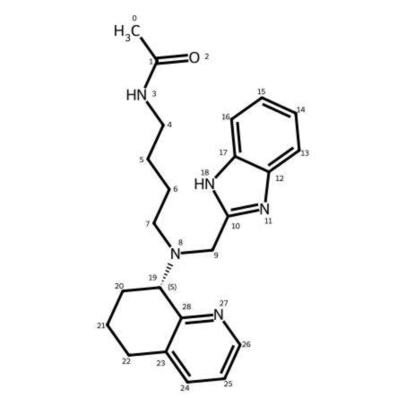 CC(=O)NCCCCN(Cc1nc2ccccc2[nH]1)[C@H]1CCCc2cccnc21